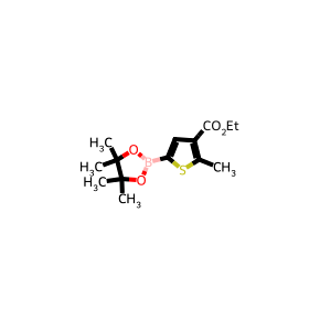 CCOC(=O)c1cc(B2OC(C)(C)C(C)(C)O2)sc1C